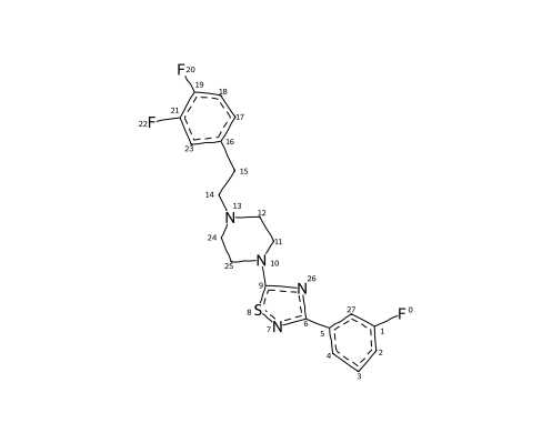 Fc1cccc(-c2nsc(N3CCN(CCc4ccc(F)c(F)c4)CC3)n2)c1